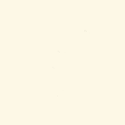 N[C@H]1CCc2cc(C(=O)N3CCCC(c4ccccc4)C3C(=O)Nc3ccc(C(=O)O)cc3)ccc21